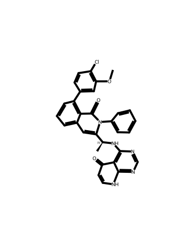 COc1cc(-c2cccc3cc([C@H](C)Nc4ncnc5[nH]ccc(=O)c45)n(-c4ccccc4)c(=O)c23)ccc1Cl